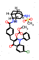 COC(=O)Oc1c(Cc2ccc(C(=O)N[C@@H]3[C@@H]4C[C@@H]5C[C@H]3C[C@](NS(C)(=O)=O)(C5)C4)cc2)c(=O)c2ccc(Cl)cc2n1-c1ccccc1